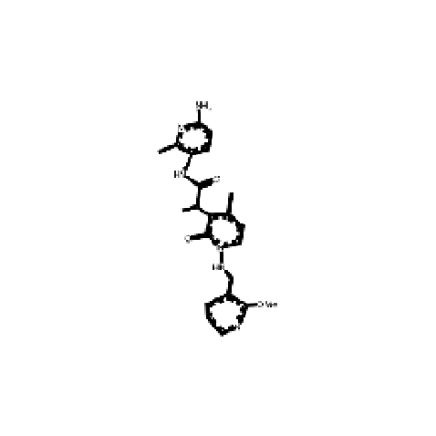 COc1ncccc1CNn1ccc(C)c(C(C)C(=O)Nc2ccc(N)nc2C)c1=O